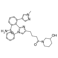 Cn1cc(-c2cccc(C(N)=O)c2-c2nc(CCCC(=O)N3CCCC(O)C3)cn2-c2ccccc2)cn1